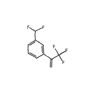 C=C(c1cccc(C(F)F)c1)C(F)(F)F